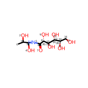 CC(O)C(O)NC(=O)[C@H](O)[C@@H](O)[C@H](O)[C@H](O)CO